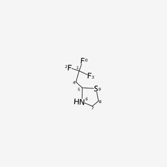 FC(F)(F)CC1NCCS1